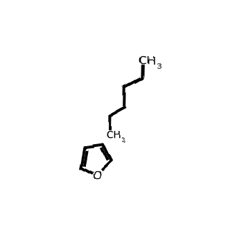 CCCCCC.c1ccoc1